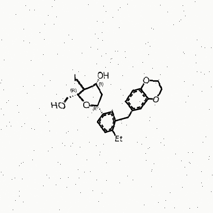 CCc1ccc([C@H]2C[C@@H](O)C(I)[C@@H](CO)O2)cc1Cc1ccc2c(c1)OCCO2